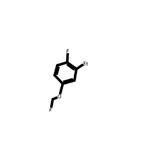 CCc1cc(OCF)ccc1F